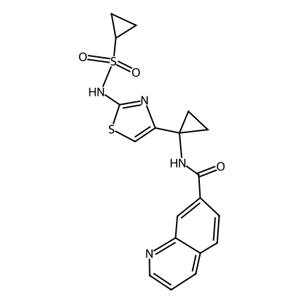 O=C(NC1(c2csc(NS(=O)(=O)C3CC3)n2)CC1)c1ccc2cccnc2c1